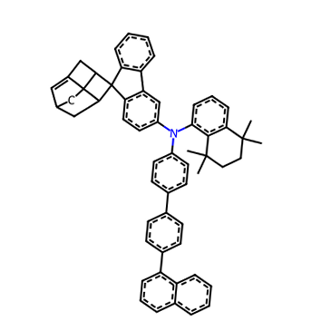 CC1(C)CCC(C)(C)c2c(N(c3ccc(-c4ccc(-c5cccc6ccccc56)cc4)cc3)c3ccc4c(c3)-c3ccccc3C43C4CC5=CC6CC3C54C6)cccc21